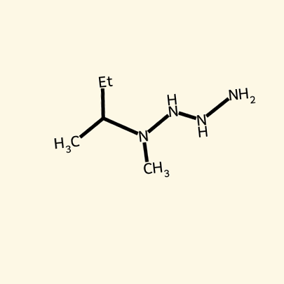 CCC(C)N(C)NNN